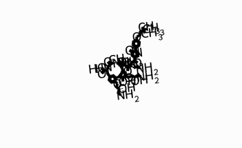 C[C@@H]1NC(=O)[C@@H](N(C)C(=O)[C@H](CCN)NC(=O)c2cnn(-c3ccc(OCCC(C)(C)C)cc3)c(=O)c2)c2cc(OC[C@H](O)CN)c(O)c(c2)-c2cc(ccc2OC[C@H](O)CN)C[C@@H](C(=O)O)NC1=O